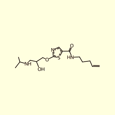 C=CCCCNC(=O)c1cnc(OCC(O)CNC(C)C)s1